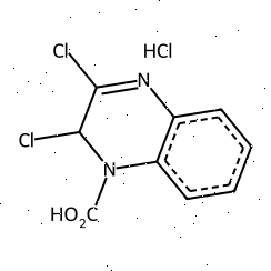 Cl.O=C(O)N1c2ccccc2N=C(Cl)C1Cl